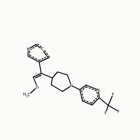 CO/C=C(/c1cccnc1)C1CCN(c2ccc(C(F)(F)F)nc2)CC1